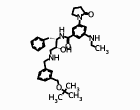 CCNc1cc(C(=O)N[C@@H](Cc2ccccc2)[C@H](O)CNCc2cccc(COC(C)(C)C)c2)cc(N2CCCC2=O)c1